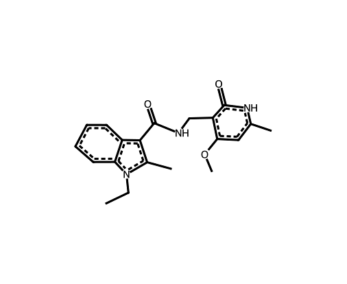 CCn1c(C)c(C(=O)NCc2c(OC)cc(C)[nH]c2=O)c2ccccc21